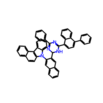 c1ccc(C2=NC(c3cc4ccccc4cc3-n3c4ccccc4c4c5ccccc5ccc43)NC(c3ccc(-c4ccccc4)c4ccccc34)=N2)cc1